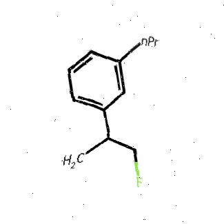 [CH2]C(CF)c1cccc(CCC)c1